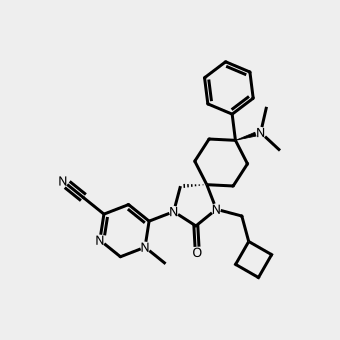 CN1CN=C(C#N)C=C1N1C[C@]2(CC[C@](c3ccccc3)(N(C)C)CC2)N(CC2CCC2)C1=O